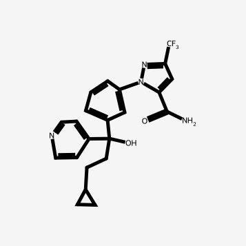 NC(=O)c1cc(C(F)(F)F)nn1-c1cccc(C(O)(CCC2CC2)c2ccncc2)c1